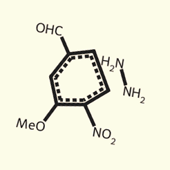 COc1cc(C=O)ccc1[N+](=O)[O-].NN